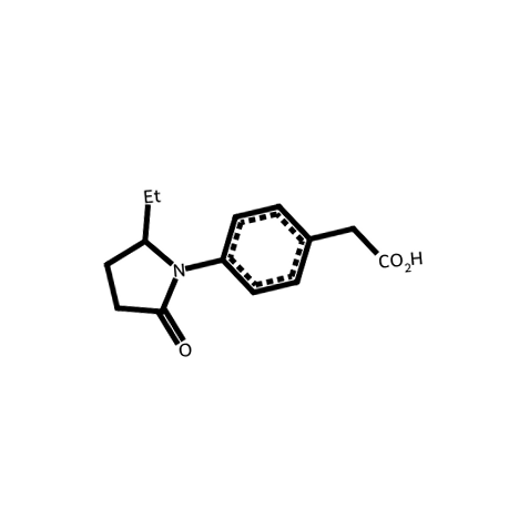 CCC1CCC(=O)N1c1ccc(CC(=O)O)cc1